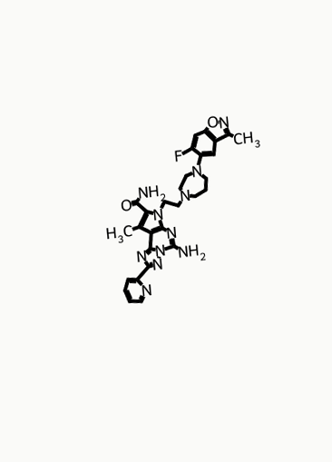 Cc1noc2cc(F)c(N3CCCN(CCn4c(C(N)=O)c(C)c5c4nc(N)n4nc(-c6ccccn6)nc54)CC3)cc12